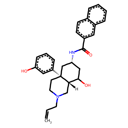 C=CCN1CC[C@@]2(c3cccc(O)c3)C[C@H](NC(=O)c3ccc4ccccc4c3)CC(O)[C@@H]2C1